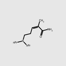 CCCN(CCC)CCC=C(C)C(N)=O